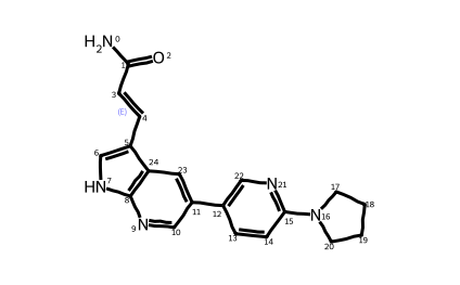 NC(=O)/C=C/c1c[nH]c2ncc(-c3ccc(N4CCCC4)nc3)cc12